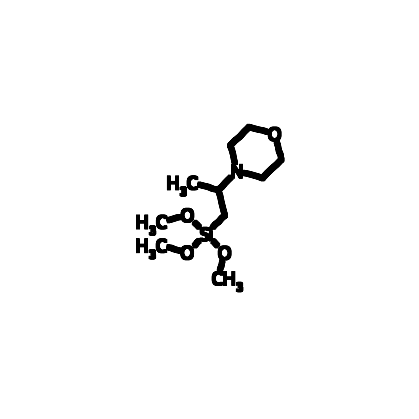 CO[Si](CC(C)N1CCOCC1)(OC)OC